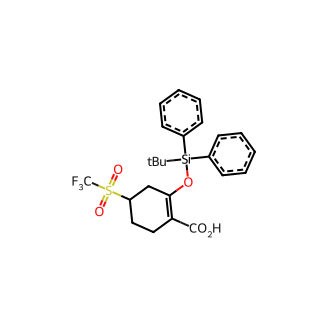 CC(C)(C)[Si](OC1=C(C(=O)O)CCC(S(=O)(=O)C(F)(F)F)C1)(c1ccccc1)c1ccccc1